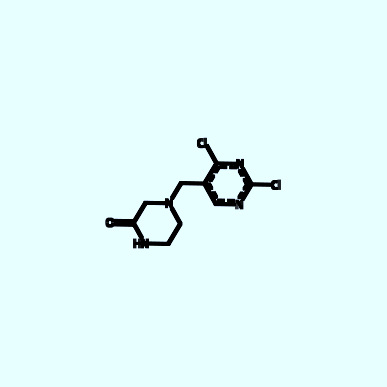 O=C1CN(Cc2cnc(Cl)nc2Cl)CCN1